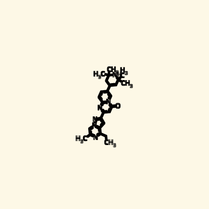 CCc1nc(C)cn2nc(-c3cc(=O)n4cc(C5=CC(C)(C)NC(C)(C)C5)ccc4n3)cc12